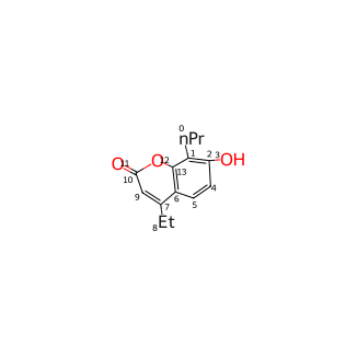 CCCc1c(O)ccc2c(CC)cc(=O)oc12